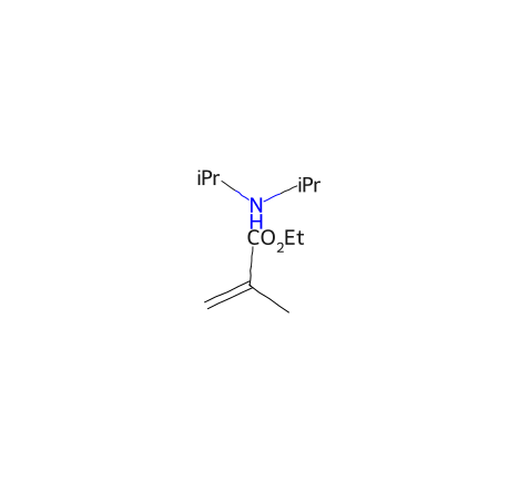 C=C(C)C(=O)OCC.CC(C)NC(C)C